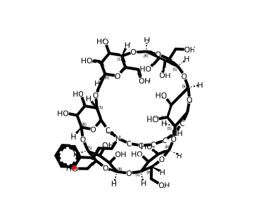 OCC1O[C@@H]2O[C@@H]3C4CN(CCCc5ccccc5)CCCCNCC5O[C@H](O[C@@H]6C(CO)O[C@H](O[C@H]1C(O)C2O)C(O)C6O)C(O)C(O)[C@@H]5O[C@H]1O[C@H](CO)[C@@H](O[C@H]2OC(CO)[C@@H](O[C@@H](O4)C(O)C3O)C(O)C2O)C(O)C1O